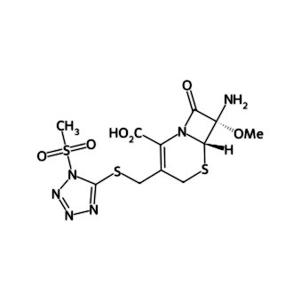 CO[C@@]1(N)C(=O)N2C(C(=O)O)=C(CSc3nnnn3S(C)(=O)=O)CS[C@H]21